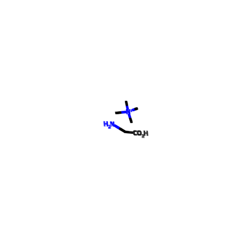 C[N+](C)(C)C.NCC(=O)O